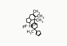 CC1=C(C)C(C)(C2=CCC(C)(C3=CC=CC3)C=C2)C2[CH]([Hf+2])CCC2C1.[F-].[F-]